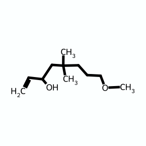 C=CC(O)CC(C)(C)CCCOC